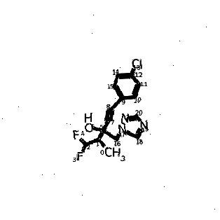 CC(C(F)F)C(O)(C#Cc1ccc(Cl)cc1)Cn1cncn1